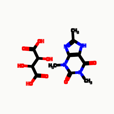 Cc1nc2c([nH]1)c(=O)n(C)c(=O)n2C.O=C(O)C(O)C(O)C(=O)O